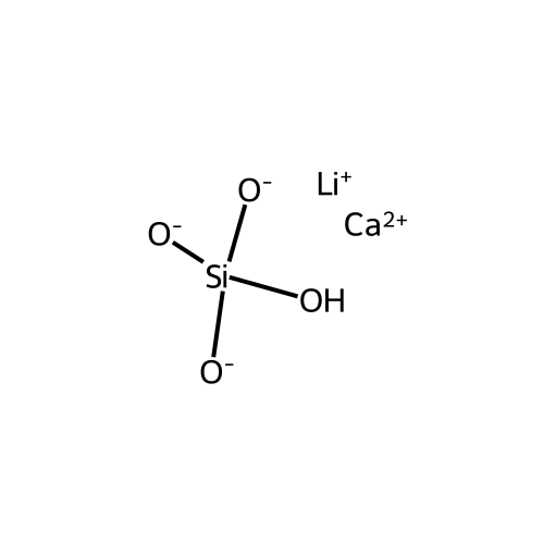 [Ca+2].[Li+].[O-][Si]([O-])([O-])O